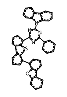 c1ccc(-c2nc(-c3cccc4c3sc3c(-c5cccc6c5oc5ccccc56)cccc34)nc(-n3c4ccccc4c4ccccc43)n2)cc1